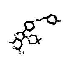 CC1(C)CCN(c2c(-c3ccc(OCCc4ccc(F)cc4)cc3)cnc(CF)c2CC(=O)O)CC1